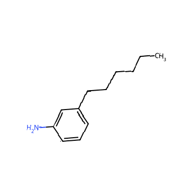 CCCCCCc1cc[c]c(N)c1